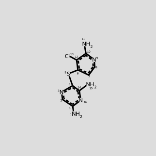 Nc1cnc(Sc2ccnc(N)c2Cl)c(N)n1